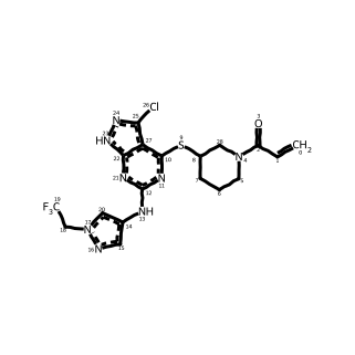 C=CC(=O)N1CCCC(Sc2nc(Nc3cnn(CC(F)(F)F)c3)nc3[nH]nc(Cl)c23)C1